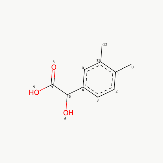 Cc1ccc(C(O)C(=O)O)cc1C